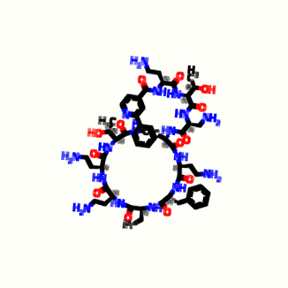 CC(C)C[C@@H]1NC(=O)[C@@H](Cc2ccccc2)NC(=O)[C@H](CCN)NC(=O)[C@@H](NC(=O)[C@H](CN)NC(=O)[C@@H](NC(=O)[C@H](CCN)NC(=O)c2ccnc(-c3ccccc3)c2)[C@@H](C)O)CCNC(=O)[C@H]([C@@H](C)O)NC(=O)[C@H](CCN)NC(=O)[C@H](CCN)NC1=O